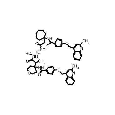 Cc1cc(COc2ccc(C(=O)NC3(C(C)C(=O)NO)CCOCC3)cc2)c2ccccc2n1.Cc1cc(COc2ccc(C(=O)NC3(CC(=O)NO)CCCCCC3)cc2)c2ccccc2n1